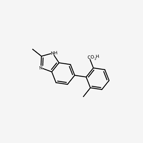 Cc1nc2ccc(-c3c(C)cccc3C(=O)O)cc2[nH]1